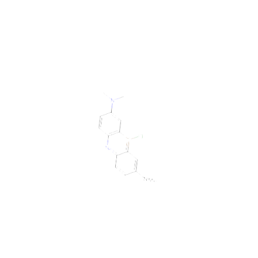 CNc1ccc2c(c1)=S(Cl)c1cc(N(C)C)ccc1N=2